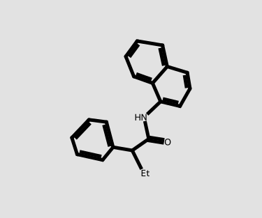 CCC(C(=O)Nc1cccc2ccccc12)c1ccccc1